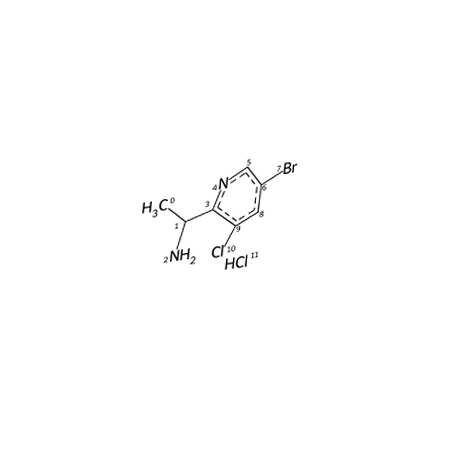 CC(N)c1ncc(Br)cc1Cl.Cl